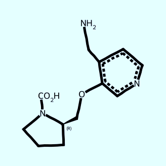 NCc1ccncc1OC[C@H]1CCCN1C(=O)O